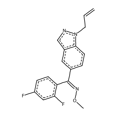 C=CCn1ncc2cc(/C(=N/OC)c3ccc(F)cc3F)ccc21